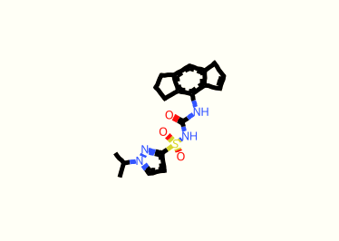 CC(C)n1ccc(S(=O)(=O)NC(=O)Nc2c3c(cc4c2CCC4)CC=C3)n1